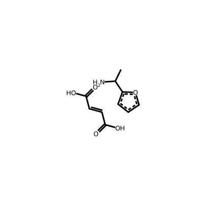 CC(N)c1ccco1.O=C(O)C=CC(=O)O